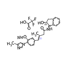 COc1cc(/C=C(\C)CC(=O)N[C@@H]2c3ccccc3C[C@@H]2O)ccc1-n1cnc(C)c1.O=C(O)C(F)(F)F